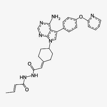 C/C=C/C(=O)NNC(=O)C=C1CCC(n2cc(-c3ccc(Oc4ccccn4)cc3)c3c(N)ncnc32)CC1